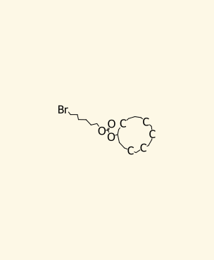 O=C(OCCCCCCBr)OC1CCCCCCCCCCCCCCC1